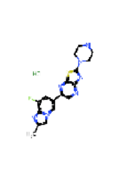 Cc1cn2cc(-c3cnc4nc(N5CCNCC5)sc4n3)cc(F)c2n1.Cl